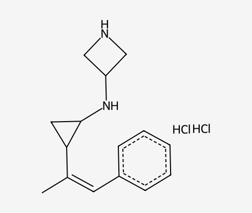 CC(=Cc1ccccc1)C1CC1NC1CNC1.Cl.Cl